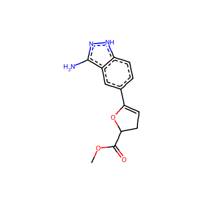 COC(=O)C1CC=C(c2ccc3[nH]nc(N)c3c2)O1